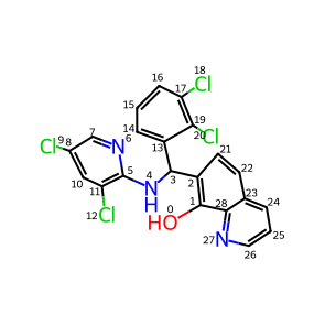 Oc1c(C(Nc2ncc(Cl)cc2Cl)c2cccc(Cl)c2Cl)ccc2cccnc12